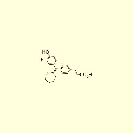 O=C(O)C=Cc1ccc(C(=C2CCCCCC2)c2ccc(O)c(F)c2)cc1